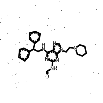 O=CNc1nc(NCC(c2ccccc2)c2ccccc2)c2ncn(CCN3CCCCC3)c2n1